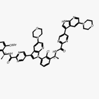 COc1ccccc1[C@H](C)NC(=O)c1ncc(-c2cn(-c3cccc([C@H](C)NC(=O)c4ncc(-c5c[nH]c6ncc(N7CCOCC7)cc56)cn4)c3Cl)c3ncc(N4CCOCC4)cc23)cn1